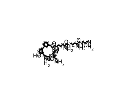 NCC(O)CNC(=O)[C@@H](N)CCCNC(=O)[C@@H](N)CCCNC(=O)[C@@H]1Cc2cccc(c2)-c2ccc(O)c(c2)C[C@H](N)C(=O)N[C@@H](C[C@@H](O)CN)C(=O)N1